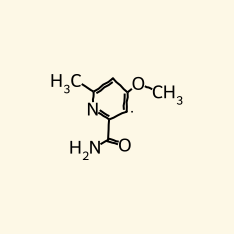 COc1[c]c(C(N)=O)nc(C)c1